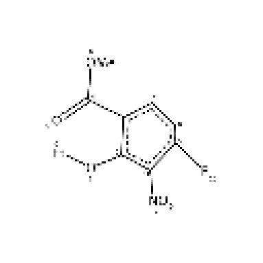 CCOc1c(C(=O)OC)ccc(F)c1[N+](=O)[O-]